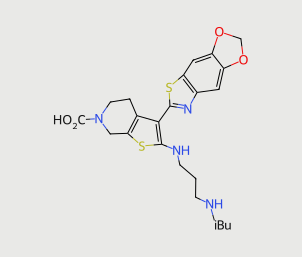 CCC(C)NCCCNc1sc2c(c1-c1nc3cc4c(cc3s1)OCO4)CCN(C(=O)O)C2